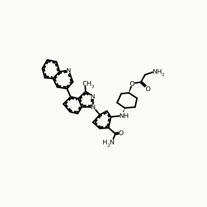 Cc1nn(-c2ccc(C(N)=O)c(N[C@H]3CC[C@H](OC(=O)CN)CC3)c2)c2cccc(-c3cnc4ccccc4c3)c12